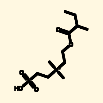 CCC(C)C(=O)OCC[N+](C)(C)CCS(=O)(=O)O